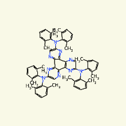 Cc1cccc(C)c1N(c1cnc2c(n1)c1ncc(N(c3c(C)cccc3C)c3c(C)cccc3C)nc1c1ncc(N(c3c(C)cccc3C)c3c(C)cccc3C)nc21)c1c(C)cccc1C